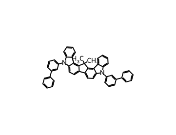 CC1(C)c2c(ccc3c2c2ccccc2n3-c2cccc(-c3ccccc3)c2)-c2ccc3c(c21)c1ccccc1n3-c1cccc(-c2ccccc2)c1